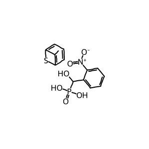 Cc1c2cccc1S2.O=[N+]([O-])c1ccccc1C(O)P(=O)(O)O